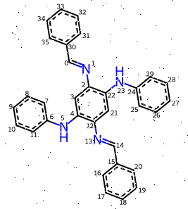 C(=Nc1cc(Nc2ccccc2)c(N=Cc2ccccc2)cc1Nc1ccccc1)c1ccccc1